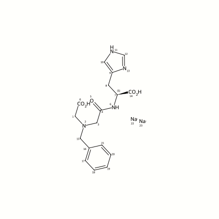 O=C(O)CN(CC(=O)N[C@@H](Cc1c[nH]cn1)C(=O)O)Cc1ccccc1.[Na].[Na]